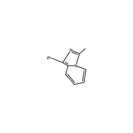 Cc1nc(C(C)C)c2ccccn12